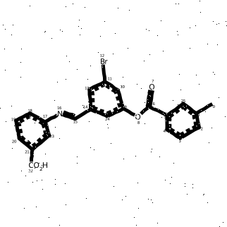 Cc1cccc(C(=O)Oc2cc(Br)cc(C=Nc3cccc(C(=O)O)c3)c2)c1